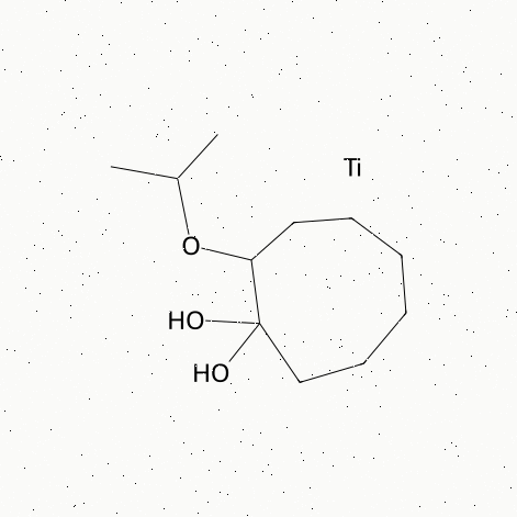 CC(C)OC1CCCCCCC1(O)O.[Ti]